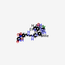 CCc1ccc2c(P(C)(C)=O)c(Nc3nc(Nc4cc(CC)c(N5CCC(NCCNCCc6ccc7c(c6)oc(=O)n7C6CCC(=O)NC6=O)CC5)cc4OC)ncc3Br)ccc2n1